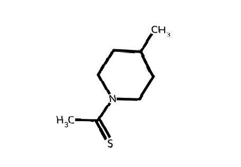 CC(=S)N1CCC(C)CC1